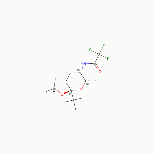 C[C@@H]1O[C@](O[SiH](C)C)(C(C)(C)C)CC[C@@H]1NC(=O)C(F)(F)F